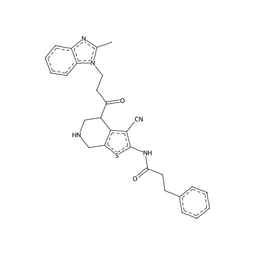 Cc1nc2ccccc2n1CCC(=O)C1CNCc2sc(NC(=O)CCc3ccccc3)c(C#N)c21